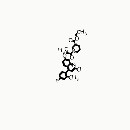 CCOC(=O)[C@H]1CCCN(C(=O)C(C)Oc2ccc3c(-c4ccc(F)cc4C)cc(Cl)nc3c2)C1